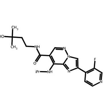 CC(C)Nc1c(C(=O)NCCC(C)(C)O)cnn2cc(-c3ccncc3F)nc12